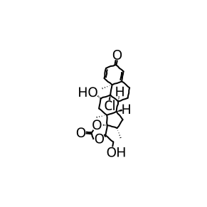 CC(=O)O[C@@]1(C(=O)CO)[C@@H](C)C[C@H]2[C@@H]3CCC4=CC(=O)C=C[C@]4(C)[C@@]3(Cl)[C@@H](O)C[C@@]21C